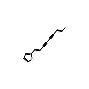 C/C=C/C#CC#C/C=C/c1ccco1